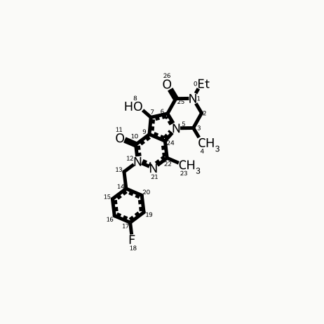 CCN1CC(C)n2c(c(O)c3c(=O)n(Cc4ccc(F)cc4)nc(C)c32)C1=O